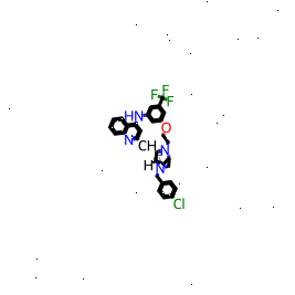 Cc1cc(Nc2cc(OCCN3C[C@@H]4CC3CN4Cc3ccc(Cl)cc3)cc(C(F)(F)F)c2)c2ccccc2n1